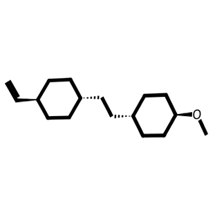 C=C[C@H]1CC[C@H](CC[C@H]2CC[C@H](OC)CC2)CC1